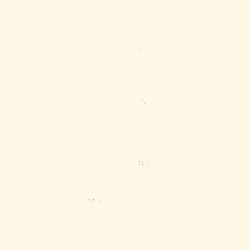 COCC(=O)NC1CCN(C(=O)OC(C)(C)C)CC1